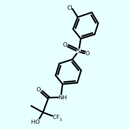 CC(O)(C(=O)Nc1ccc(S(=O)(=O)c2cccc(Cl)c2)cc1)C(F)(F)F